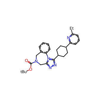 CCc1cccc(C2CCC(c3nnc4n3-c3ccccc3CN(C(=O)OC(C)(C)C)C4)CC2)n1